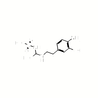 Cc1cc(CCNC(C)NS(C)(=O)=O)ccc1N